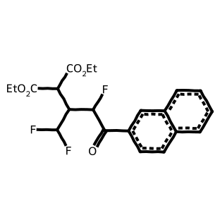 CCOC(=O)C(C(=O)OCC)C(C(F)F)C(F)C(=O)c1ccc2ccccc2c1